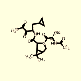 CC1(C)C2CN(C(=O)[C@@H](NC(=O)C(F)(F)F)C(C)(C)C)C(C(=O)NC(CC3CC3)C(=O)C(N)=O)C21